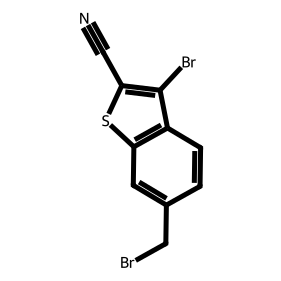 N#Cc1sc2cc(CBr)ccc2c1Br